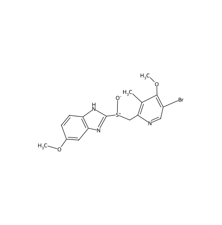 COc1ccc2[nH]c([S+]([O-])Cc3ncc(Br)c(OC)c3C)nc2c1